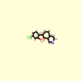 Clc1ccc2c(c1)oc1c3cnccc3ccc21